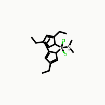 CCC1=C[CH]([Ti]([Cl])([Cl])([CH]2C=C(CC)C=C2CC)[SiH](C)C)C(CC)=C1